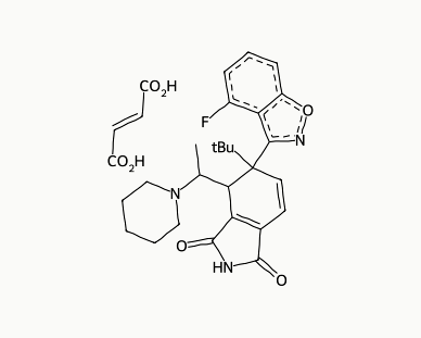 CC(C1C2=C(C=CC1(c1noc3cccc(F)c13)C(C)(C)C)C(=O)NC2=O)N1CCCCC1.O=C(O)C=CC(=O)O